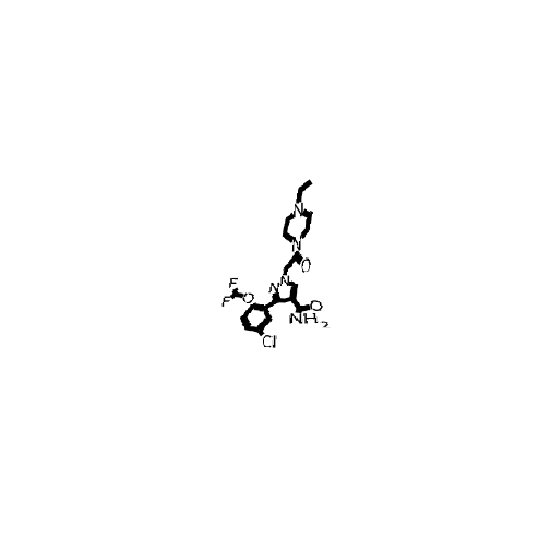 CCN1CCN(C(=O)Cn2cc(C(N)=O)c(-c3cc(Cl)ccc3OC(F)F)n2)CC1